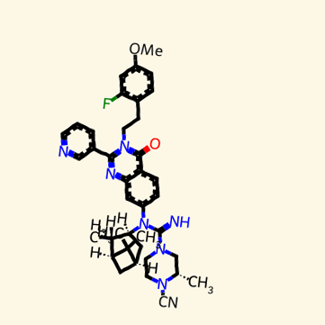 COc1ccc(CCn2c(-c3cccnc3)nc3cc(N(C(=N)N4CCN(C#N)[C@@H](C)C4)[C@H]4C[C@H]5C[C@@H]([C@@H]4C)C5(C)C)ccc3c2=O)c(F)c1